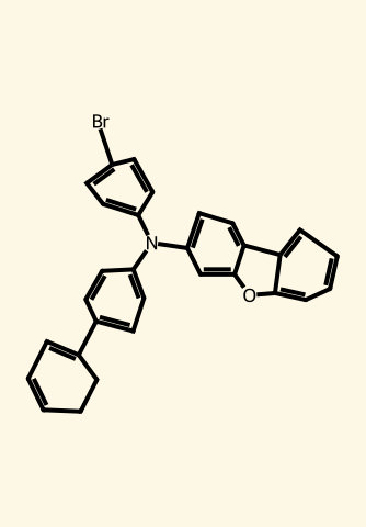 Brc1ccc(N(c2ccc(C3=CC=CCC3)cc2)c2ccc3c(c2)oc2ccccc23)cc1